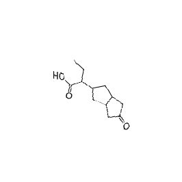 CCC(C(=O)O)C1CC2CC(=O)CC2C1